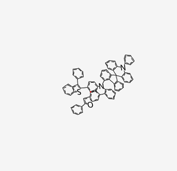 c1ccc(-c2cc3ccc(-c4ccccc4N(c4ccc(-c5sc6ccccc6c5-c5ccccc5)cc4)c4cccc5c4-c4ccccc4C54c5ccccc5N(c5ccccc5)c5ccccc54)cc3o2)cc1